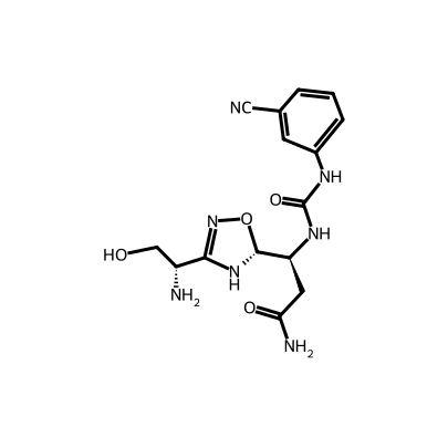 N#Cc1cccc(NC(=O)N[C@@H](CC(N)=O)[C@@H]2NC([C@H](N)CO)=NO2)c1